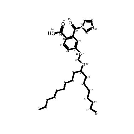 CCCCCCCCCC(CCCCCCC)OCNc1ccc(C(=O)O)c(C(=O)n2ccnc2)c1